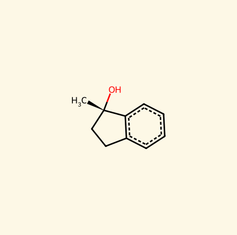 C[C@]1(O)CCc2ccccc21